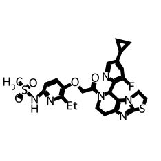 CCc1nc(NS(C)(=O)=O)ccc1OCC(=O)N1CCc2nc3n(c2C1c1ncc(C2CC2)cc1F)CCS3